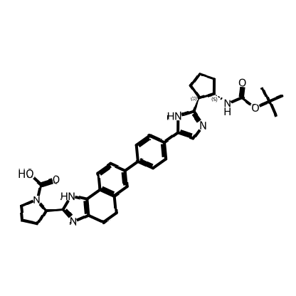 CC(C)(C)OC(=O)N[C@H]1CCC[C@@H]1c1ncc(-c2ccc(-c3ccc4c(c3)CCc3nc(C5CCCN5C(=O)O)[nH]c3-4)cc2)[nH]1